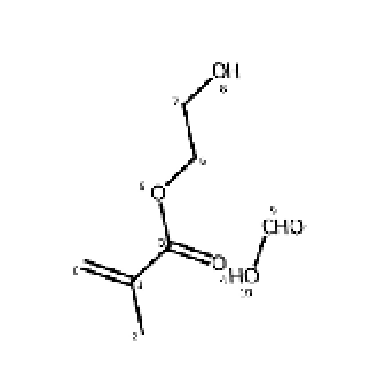 C=C(C)C(=O)OCCO.O=[C]O